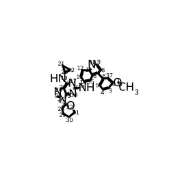 COc1cccc(-c2ccnc3ccc(Nc4nc(NC5CC5)c5ncn(C6CCCCO6)c5n4)cc23)c1